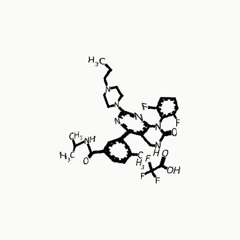 CCCN1CCN(c2nc(-c3cc(C(=O)NC(C)C)ccc3C)c3c(n2)N(c2c(F)cccc2F)C(=O)NC3)CC1.O=C(O)C(F)(F)F